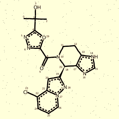 CC(C)(O)c1nnc(C(=O)N2CCc3[nH]cnc3[C@H]2c2cc3c(Cl)cccn3n2)o1